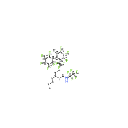 CCCCC(CC)CCNC(F)(F)C(F)(F)F.Cc1c(F)c(F)c(F)c(C(F)(F)F)c1-c1c(F)c(F)c(F)c(F)c1F